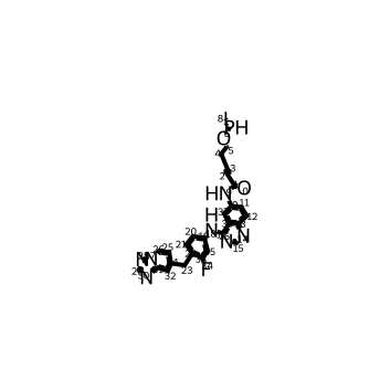 O=C(C#CCCOPI)Nc1ccc2ncnc(Nc3ccc(Cc4ccn5ncnc5c4)c(F)c3)c2c1